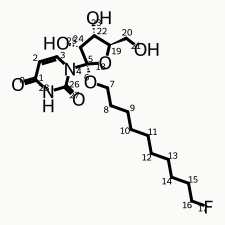 O=c1ccn([C@]2(OCCCCCCCCCCF)O[C@H](CO)[C@@H](O)[C@H]2O)c(=O)[nH]1